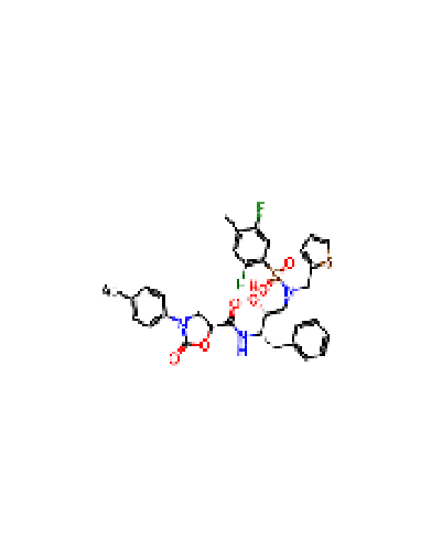 CC(=O)c1ccc(N2C[C@@H](C(=O)N[C@@H](Cc3ccccc3)[C@H](O)CN(Cc3cccs3)S(=O)(=O)c3cc(F)c(C)cc3F)OC2=O)cc1